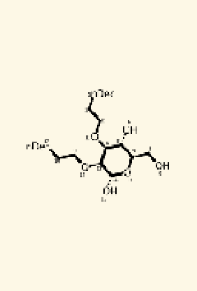 CCCCCCCCCCCCO[C@H]1[C@H](O)[C@@H](CO)O[C@H](O)[C@H]1OCCCCCCCCCCCC